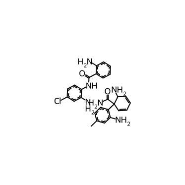 Cc1ccc(C2(C(N)=O)C=CC=CC2N)c(N)c1.Nc1cc(Cl)ccc1NC(=O)c1ccccc1N